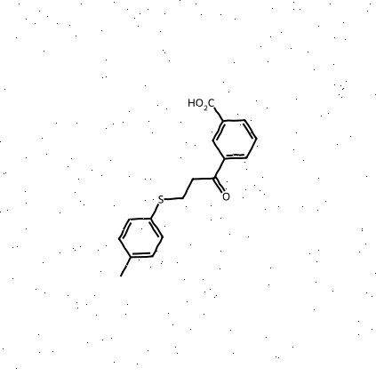 Cc1ccc(SCCC(=O)c2cccc(C(=O)O)c2)cc1